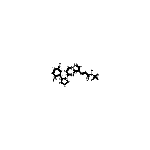 CC(C)(C)NC(=O)C=Cc1cnn2ccc(N3CCCC3c3cc(F)ccc3F)nc12